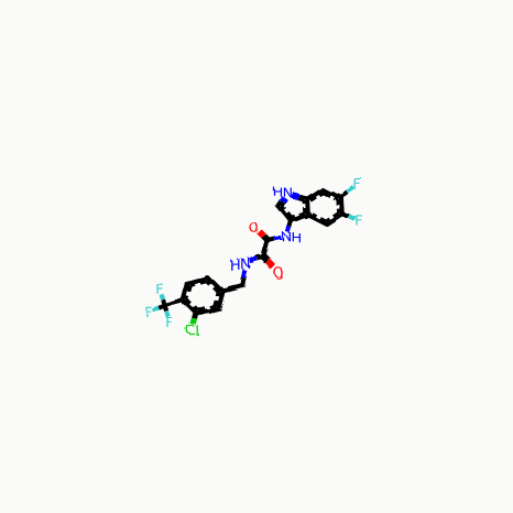 O=C(NCc1ccc(C(F)(F)F)c(Cl)c1)C(=O)Nc1c[nH]c2cc(F)c(F)cc12